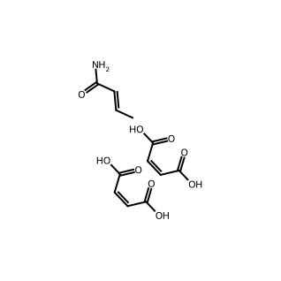 CC=CC(N)=O.O=C(O)/C=C\C(=O)O.O=C(O)/C=C\C(=O)O